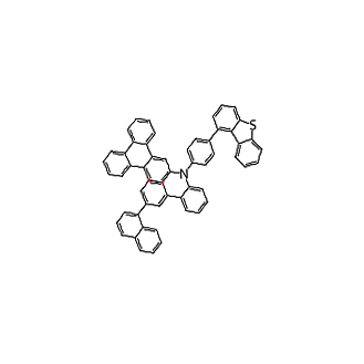 c1cc(-c2ccccc2N(c2ccc(-c3cccc4sc5ccccc5c34)cc2)c2ccc3c4ccccc4c4ccccc4c3c2)cc(-c2cccc3ccccc23)c1